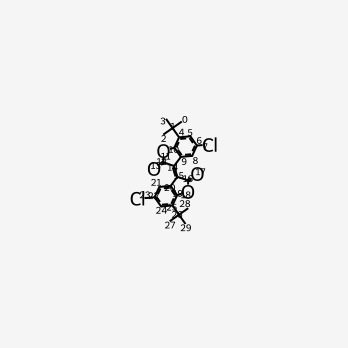 CC(C)(C)c1cc(Cl)cc2c1OC(=O)C2=C1C(=O)Oc2c1cc(Cl)cc2C(C)(C)C